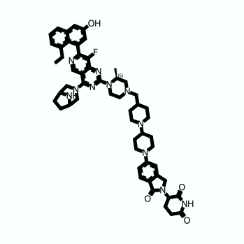 CCc1cccc2cc(O)cc(-c3ncc4c(N5CC6CCC(C5)N6)nc(N5CCN(CC6CCN(C7CCN(c8ccc9c(c8)CN(C8CCC(=O)NC8=O)C9=O)CC7)CC6)C[C@@H]5C)nc4c3F)c12